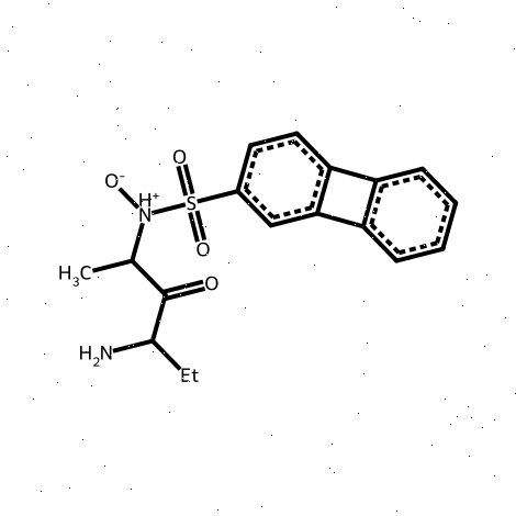 CCC(N)C(=O)C(C)[NH+]([O-])S(=O)(=O)c1ccc2c(c1)-c1ccccc1-2